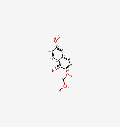 COCOc1ccc2cc(OC)ccc2c1Br